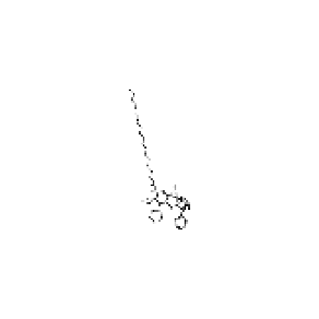 CCCCCCCCCCCCCCCCCCOc1cc(O)c(Sc2nnnn2-c2ccccc2)c(-c2ccccc2)c1O